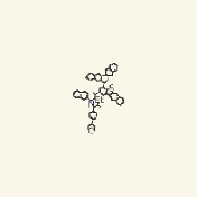 C=C(C)C(/N=C(/c1ccc2ccccc2c1)C(CC)C(C)c1cc(C2Cc3cc4ccccc4cc3-c3cc4ccccc4cc32)c2sc3cc4ccccc4cc3c2c1)c1ccc(-c2ccccc2)cc1